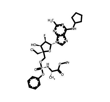 Cc1nc(NC2CCCC2)c2ncn([C@@H]3O[C@](CCl)(CO[P@@](=O)(N[C@@H](C)C(=O)OC(C)C)Oc4ccccc4)[C@@H](O)[C@H]3F)c2n1